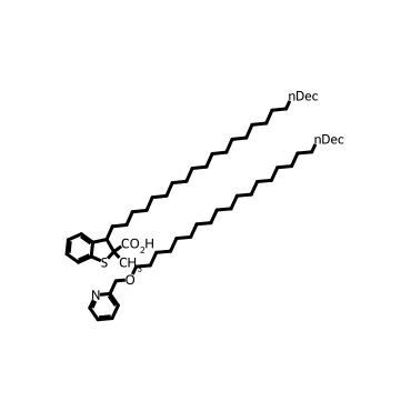 CCCCCCCCCCCCCCCCCCCCCCCCCCCCC1c2ccccc2SC1(C)C(=O)O.CCCCCCCCCCCCCCCCCCCCCCCCCCCCOCc1ccccn1